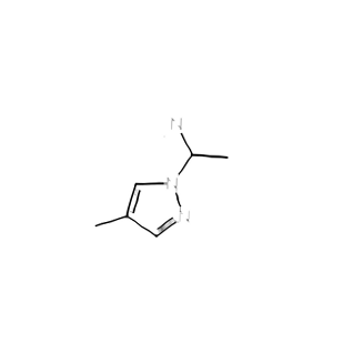 Cc1cnn(C(C)N)c1